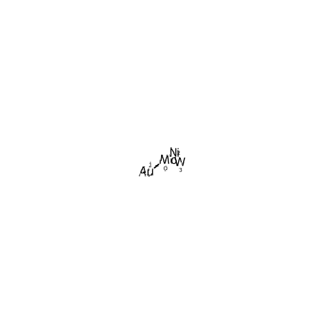 [Mo][Au].[Ni].[W]